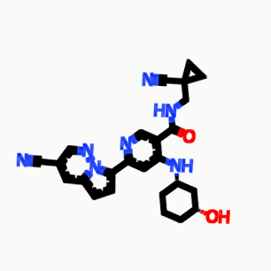 N#Cc1cnn2c(-c3cc(N[C@H]4CCC[C@@H](O)C4)c(C(=O)NCC4(C#N)CC4)cn3)ccc2c1